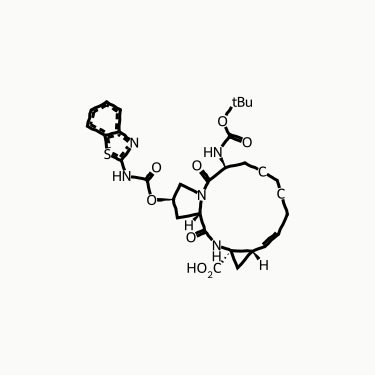 CC(C)(C)OC(=O)N[C@H]1CCCCC/C=C\[C@@H]2C[C@@]2(C(=O)O)NC(=O)[C@@H]2C[C@@H](OC(=O)Nc3nc4ccccc4s3)CN2C1=O